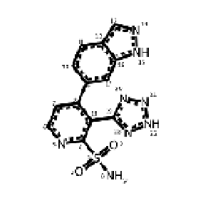 NS(=O)(=O)c1nccc(-c2ccc3cn[nH]c3c2)c1-c1nn[nH]n1